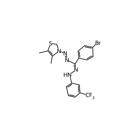 CC1=C(C)N(N=NC(=NNc2cccc(C(F)(F)F)c2)c2ccc(Br)cc2)CS1